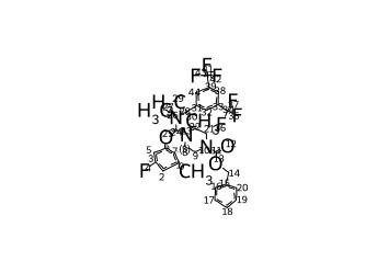 Cc1cc(F)ccc1[C@H]1CN(C(=O)OCc2ccccc2)CCN1C(=O)N(C)C(C)(C)c1cc(C(F)(F)F)cc(C(F)(F)F)c1